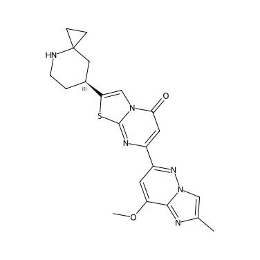 COc1cc(-c2cc(=O)n3cc([C@H]4CCNC5(CC5)C4)sc3n2)nn2cc(C)nc12